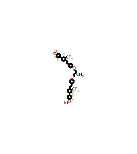 CCOc1ccc(-c2ccc(CCc3ccc(OCCC(C)CCOc4ccc(CCc5ccc(-c6ccc(OCC)c(F)c6F)c(F)c5C(F)(F)F)cc4)cc3)c(C(F)(F)F)c2F)c(F)c1F